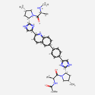 COC(=O)N[C@H](C(=O)N1C[C@@H](C)C[C@H]1c1nc(-c2ccc(-c3ccc4nc(-c5c[nH]c([C@@H]6C[C@H](C)CN6C(=O)[C@@H](NC(=O)O)C(C)C)n5)ccc4c3)cc2)c[nH]1)C(C)C